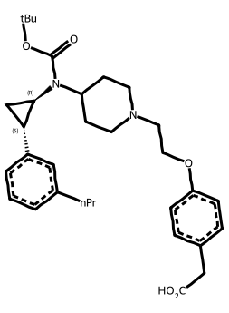 CCCc1cccc([C@@H]2C[C@H]2N(C(=O)OC(C)(C)C)C2CCN(CCOc3ccc(CC(=O)O)cc3)CC2)c1